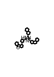 c1cc(C2=NC(c3ccc4ccc5ccccc5c4c3)=NC(c3ccc4ccccc4c3)N2)cc(-c2cccc3oc4ccccc4c23)c1